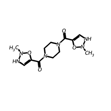 CN1NC=C(C(=O)N2CCN(C(=O)C3=CNN(C)O3)CC2)O1